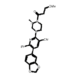 COCCC(=O)N1CCN(c2nc(C(C)C)c(-c3ccc4c(c3)OCO4)cc2C#N)C[C@H]1C